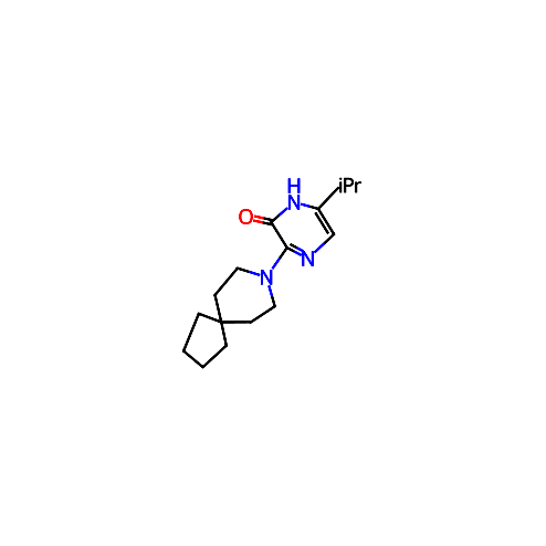 CC(C)c1cnc(N2CCC3(CCCC3)CC2)c(=O)[nH]1